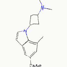 COc1cc(C)c2c(ccn2C2CC(N(C)C)C2)c1